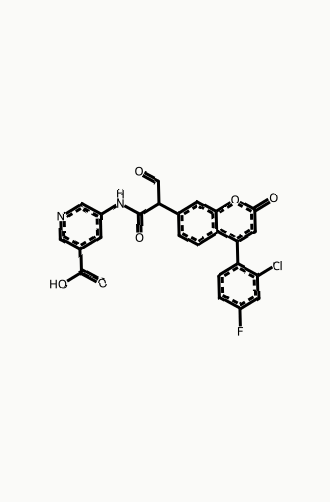 O=CC(C(=O)Nc1cncc(C(=O)O)c1)c1ccc2c(-c3ccc(F)cc3Cl)cc(=O)oc2c1